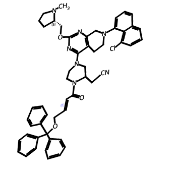 CN1CCC[C@H]1COc1nc2c(c(N3CCN(C(=O)/C=C/COC(c4ccccc4)(c4ccccc4)c4ccccc4)C(CC#N)C3)n1)CCN(c1cccc3cccc(Cl)c13)C2